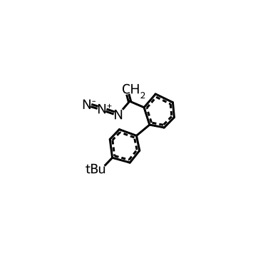 C=C(N=[N+]=[N-])c1ccccc1-c1ccc(C(C)(C)C)cc1